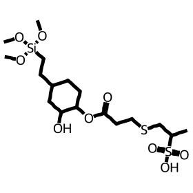 CO[Si](CCC1CCC(OC(=O)CCSCC(C)S(=O)(=O)O)C(O)C1)(OC)OC